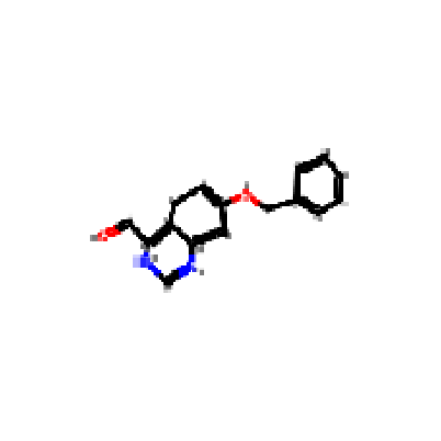 O=CC1=C2CC=C(OCc3ccccc3)C=C2N=CN1